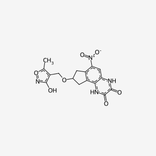 Cc1onc(O)c1COC1Cc2c([N+](=O)[O-])cc3[nH]c(=O)c(=O)[nH]c3c2C1